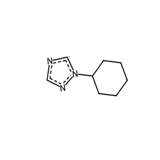 [c]1ncnn1C1CCCCC1